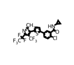 Cn1nc(C(F)(F)C(F)(F)F)c(C(F)(F)F)c1-c1ccc(-c2ccc(Cl)c(C(=O)NC3CC3)c2)s1